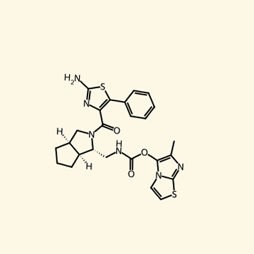 Cc1nc2sccn2c1OC(=O)NC[C@@H]1[C@H]2CCC[C@H]2CN1C(=O)c1nc(N)sc1-c1ccccc1